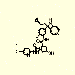 O=C(Nc1cc(C2(CCC3CC3)NC3C=CN=CC=C32)ccc1F)[C@H]1C[C@@H](O)CN1C(=O)Nc1ccc(Cl)cn1